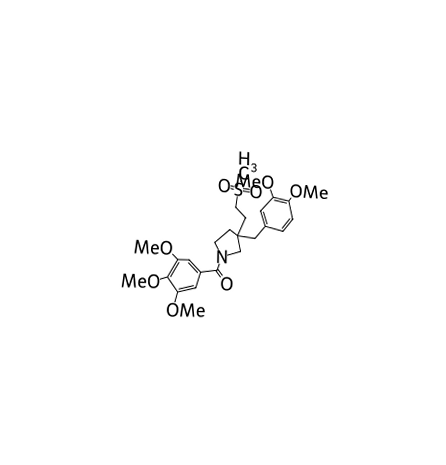 COc1ccc(CC2(CCS(C)(=O)=O)CCN(C(=O)c3cc(OC)c(OC)c(OC)c3)C2)cc1OC